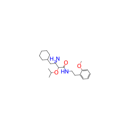 COc1ccccc1CCNC(=O)C(OC(C)C)[C@H](N)CC1CCCCC1